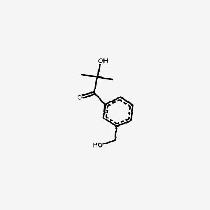 CC(C)(O)C(=O)c1cccc(CO)c1